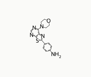 Nc1ccc(-c2nc3c(N4CCOCC4)ncnc3s2)cc1